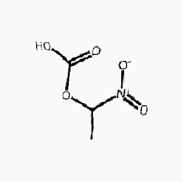 CC(OC(=O)O)[N+](=O)[O-]